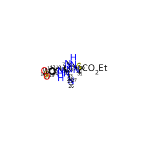 CCOC(=O)c1sc(Nc2ncc(NCc3ccc(S(C)(=O)=O)cc3)c(NCCN(C)C)n2)nc1C